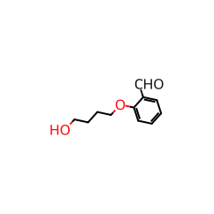 O=Cc1ccccc1OCCCCO